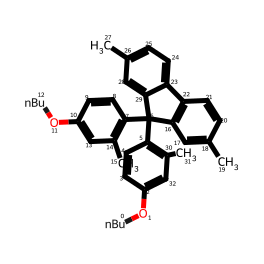 CCCCOc1ccc(C2(c3ccc(OCCCC)cc3C)c3cc(C)ccc3-c3ccc(C)cc32)c(C)c1